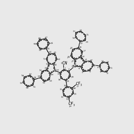 N#Cc1c(-n2c3ccc(-c4ccccc4)cc3c3cc(-c4ccccc4)ccc32)cc(-c2ccc(C(F)(F)F)cc2C(F)(F)F)cc1-n1c2ccc(-c3ccccc3)cc2c2cc(-c3ccccc3)ccc21